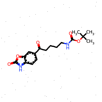 CC(C)(C)OC(=O)NCCCCC(=O)c1ccc2[nH]c(=O)oc2c1